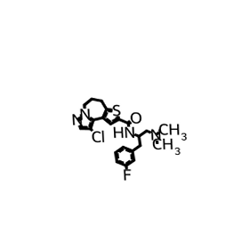 CN(C)CC(Cc1cccc(F)c1)NC(=O)c1cc2c(s1)CCCn1ncc(Cl)c1-2